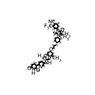 C[C@@H]1CC(OCCC[C@H]2CC[C@H](N3C(=S)N(c4ccc(C#N)c(C(F)(F)F)c4)C(=O)C3(C)C)CC2)C[C@H](C)N1CC(=O)Nc1ccc(C2CCC(=O)NC2=O)nc1